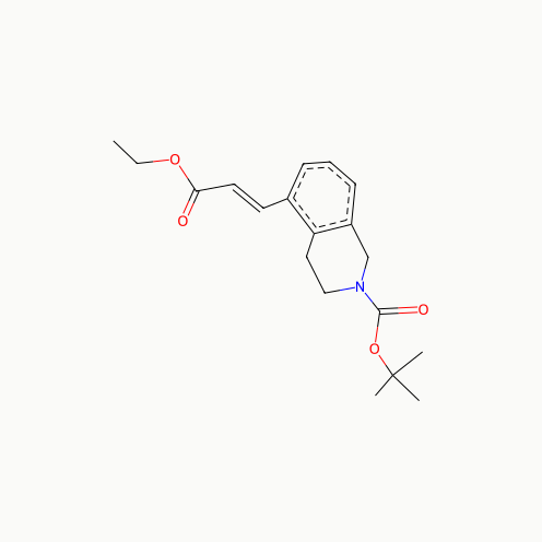 CCOC(=O)C=Cc1cccc2c1CCN(C(=O)OC(C)(C)C)C2